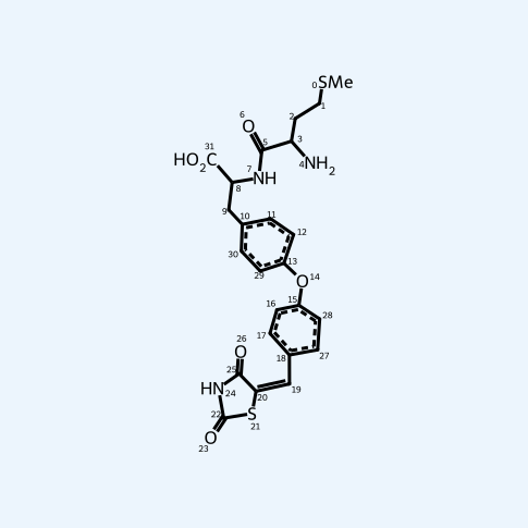 CSCCC(N)C(=O)NC(Cc1ccc(Oc2ccc(C=C3SC(=O)NC3=O)cc2)cc1)C(=O)O